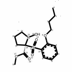 CCCCOc1ccccc1S(=O)(=O)[C@@]1(C(=O)OC)CCCN1O